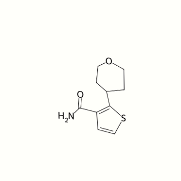 NC(=O)c1ccsc1C1CCOCC1